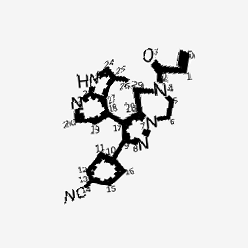 C=CC(=O)N1CCn2nc(-c3ccc(C#N)cc3)c(-c3ccnc4[nH]cc(C)c34)c2C1